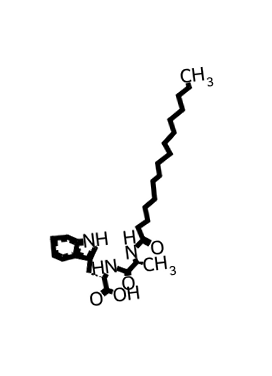 CCCCCCCCCCCCCCCC(=O)N[C@@H](C)C(=O)N[C@@H](Cc1c[nH]c2ccccc12)C(=O)O